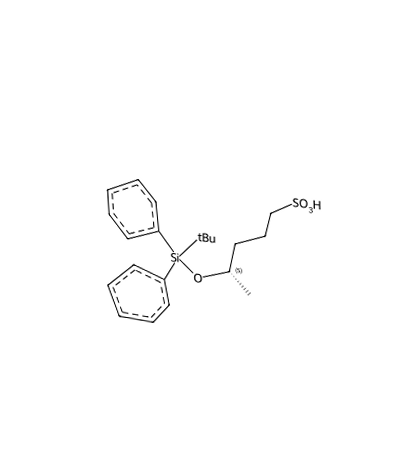 C[C@@H](CCCS(=O)(=O)O)O[Si](c1ccccc1)(c1ccccc1)C(C)(C)C